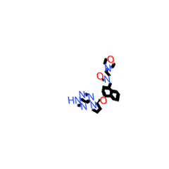 O=CN(CCN1CCOCC1)Cc1ccc(OC[C@H]2CCCN2c2ncnc3[nH]cnc23)c2ccccc12